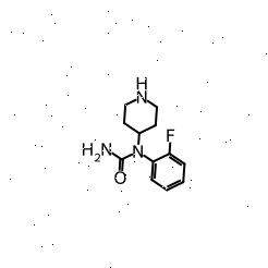 NC(=O)N(c1ccccc1F)C1CCNCC1